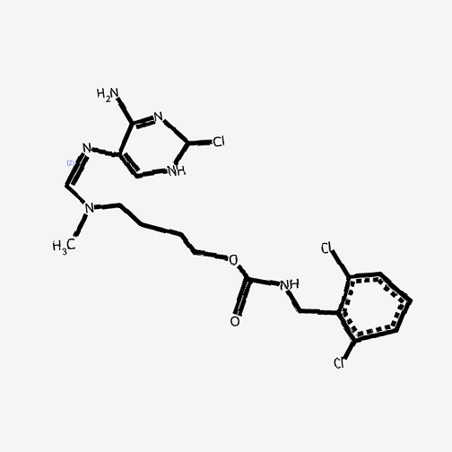 CN(/C=N\C1=CNC(Cl)N=C1N)CCCCOC(=O)NCc1c(Cl)cccc1Cl